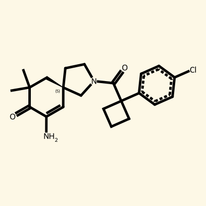 CC1(C)C[C@@]2(C=C(N)C1=O)CCN(C(=O)C1(c3ccc(Cl)cc3)CCC1)C2